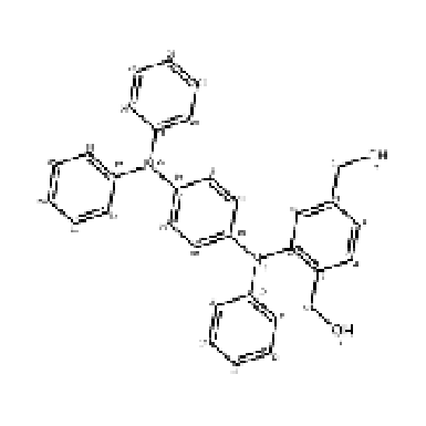 OCc1ccc(CO)c(N(c2ccccc2)c2ccc(N(c3ccccc3)c3ccccc3)cc2)c1